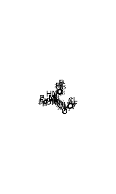 O=C(c1ccc(F)c(Cl)c1)N1CCN(c2nc(Nc3cccc(C(F)(F)F)c3)nc(OCC(F)(F)F)n2)CC1